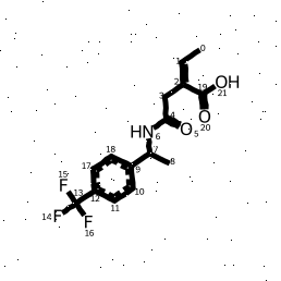 C/C=C(/CC(=O)NC(C)c1ccc(C(F)(F)F)cc1)C(=O)O